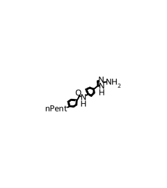 CCCCCc1ccc(C(=O)Nc2ccc(-c3cnc(N)[nH]3)cc2)cc1